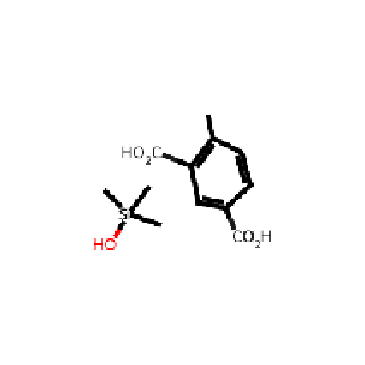 C[Si](C)(C)O.Cc1ccc(C(=O)O)cc1C(=O)O